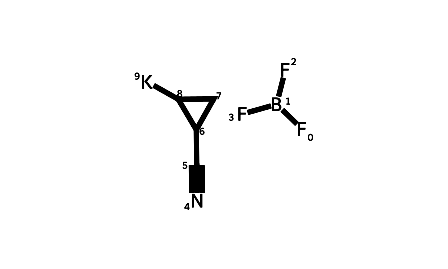 FB(F)F.N#CC1C[CH]1[K]